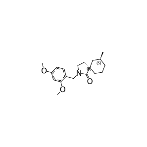 COc1ccc(CN2CC[C@]3(CCC[C@H](C)C3)C2=O)c(OC)c1